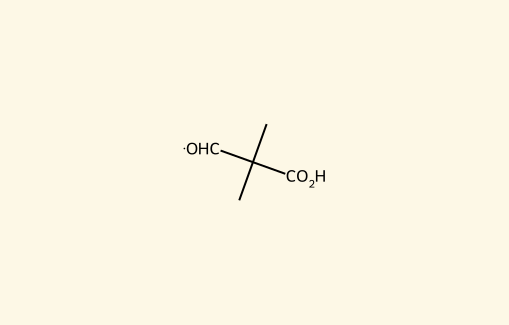 CC(C)([C]=O)C(=O)O